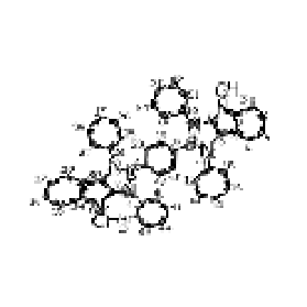 Cn1c2c(c3ccccc31)N(c1ccccc1)B(c1ccc(B3N(c4ccccc4)c4c(n(C)c5ccccc45)N3c3ccccc3)cc1)N2c1ccccc1